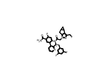 NC(=O)c1cc(-c2cccnc2[C@H](Cc2cc(F)cc(F)c2)NC(=O)Cn2nc(CF)c3c2CC2CC32)ccc1F